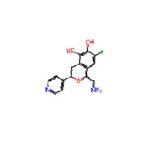 NCC1OC(c2ccncc2)Cc2c1cc(F)c(O)c2O